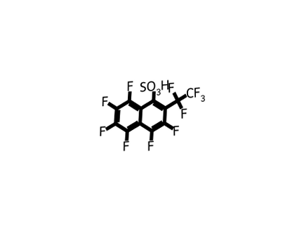 O=S(=O)(O)c1c(C(F)(F)C(F)(F)F)c(F)c(F)c2c(F)c(F)c(F)c(F)c12